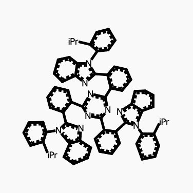 CC(C)c1ccccc1-n1c(-c2ccccc2-c2nc(-c3ccccc3-c3nc4ccccc4n3-c3ccccc3C(C)C)nc(-c3ccccc3-c3nc4ccccc4n3-c3ccccc3C(C)C)n2)nc2ccccc21